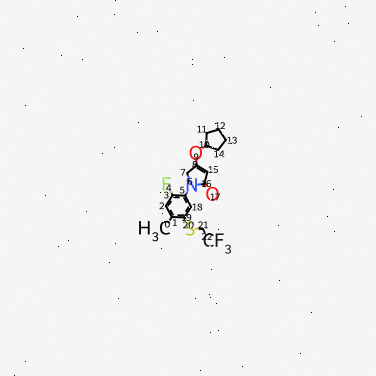 Cc1cc(F)c(N2CC(OC3CCCC3)=CC2=O)cc1SCC(F)(F)F